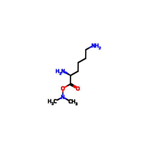 CN(C)OC(=O)[C@@H](N)CCCCN